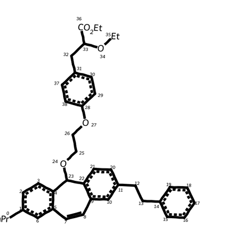 CCCc1ccc2c(c1)C=Cc1cc(CCc3ccccc3)ccc1C2OCCOc1ccc(CC(OCC)C(=O)OCC)cc1